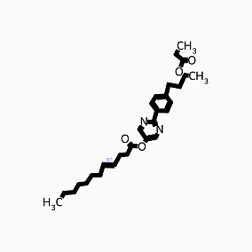 CCCCCCC/C=C/CCC(=O)Oc1cnc(-c2ccc(CCC(C)OC(=O)CC)cc2)nc1